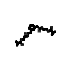 C=C(C)C(=O)OCCONCc1cccc(CNOCCOC(=O)C(=C)C)c1